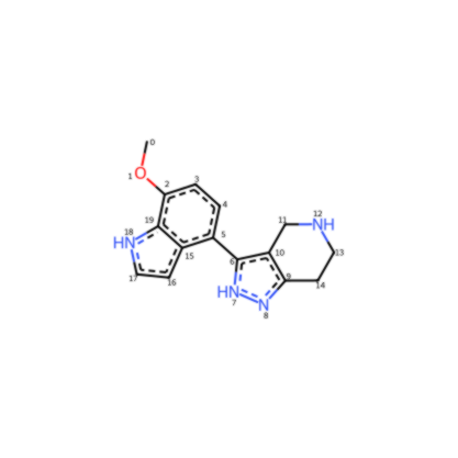 COc1ccc(-c2[nH]nc3c2CNCC3)c2cc[nH]c12